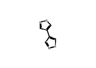 c1nscc1-c1cnsc1